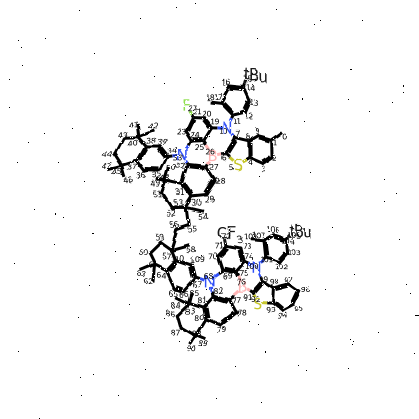 Cc1ccc2sc3c(c2c1)N(c1ccc(C(C)(C)C)cc1C)c1cc(F)cc2c1B3c1ccc3c(c1N2c1ccc2c(c1)C(C)(C)CCC2(C)C)C(C)(C)CCC3(C)CCC1(C)CCC(C)(C)c2ccc(N3c4cc(C(F)(F)F)cc5c4B(c4ccc6c(c43)C(C)(C)CCC6(C)C)c3sc4ccccc4c3N5c3ccc(C(C)(C)C)cc3C)cc21